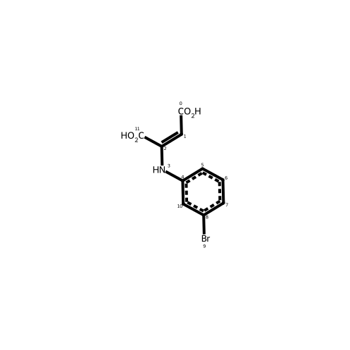 O=C(O)C=C(Nc1cccc(Br)c1)C(=O)O